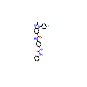 Cc1nc2ccc(C(=O)Nc3ccc(NC(=O)Nc4ccccc4)cc3)cc2n1-c1ccc(F)cc1